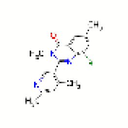 Cc1cc(Br)c2nc(-c3cnc(C)cc3C)n(C)c(=O)c2c1